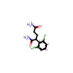 NC(=O)CCC(C(N)=O)c1c(F)cccc1F